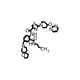 CCCNC(=O)c1cc(CN2CCC3(CCCO3)CC2)ccc1NC(=O)c1csc(N2CCC(Oc3ncccn3)CC2)n1